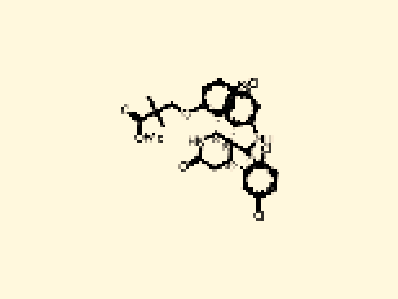 COC(=O)C(C)(C)COc1ccc(Br)cc1[C@H]1NC(=O)C[C@@H](c2cc(Cl)ccc2Cl)[C@]12C(=O)Nc1cc(Cl)ccc12